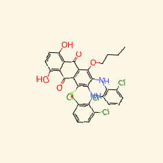 CCCCOc1c(Nc2c(Cl)cccc2Cl)c(Nc2c(Cl)cccc2Cl)c(F)c2c1C(=O)c1c(O)ccc(O)c1C2=O